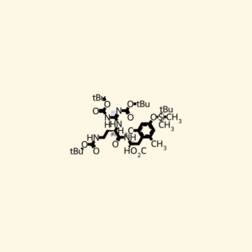 Cc1cc(O[Si](C)(C)C(C)(C)C)cc(C)c1C[C@H](NC(=O)[C@@H](CCNC(=O)OC(C)(C)C)N/C(=N\C(=O)OC(C)(C)C)NC(=O)OC(C)(C)C)C(=O)O